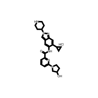 Cl.O=C(Nc1cc2cn(C3CCNCC3)nc2cc1C1CC1)c1cccc(N2CCC(O)C2)n1